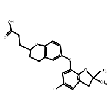 CC1(C)Cc2cc(Cl)cc(Sc3ccc4c(c3)CCC(CCC(=O)O)O4)c2O1